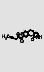 CC#CCN(O)C(=O)c1ccc2c(c1)C[C@@]1(CCNC1=O)CC2